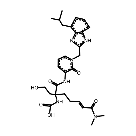 CC(C)Cc1cccc2[nH]c(Cn3cccc(NC(=O)C(CCO)(CCC=CC(=O)N(C)C)NC(=O)O)c3=O)nc12